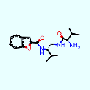 CC(C)[C@H](N)C(=O)NC[C@@H](NC(=O)c1cc2ccccc2o1)C(C)C